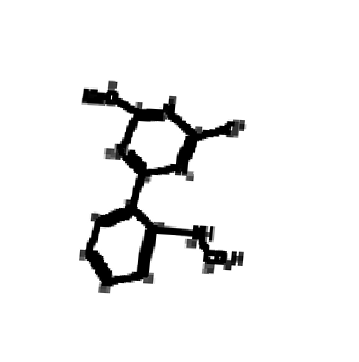 COc1nc(Cl)nc(-c2ccccc2NC(=O)O)n1